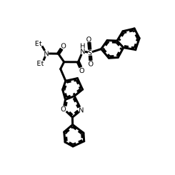 CCN(CC)C(=O)C(Cc1ccc2nc(-c3ccccc3)oc2c1)C(=O)NS(=O)(=O)c1ccc2ccccc2c1